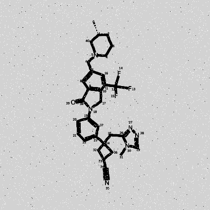 C[C@@H]1CCCN(Cc2cc3c(c(C(F)(F)F)c2)CN(c2cccc(C4(Cc5nncn5C)CC(C#N)C4)c2)C3=O)C1